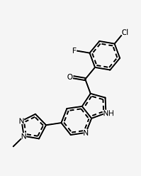 Cn1cc(-c2cnc3[nH]cc(C(=O)c4ccc(Cl)cc4F)c3c2)cn1